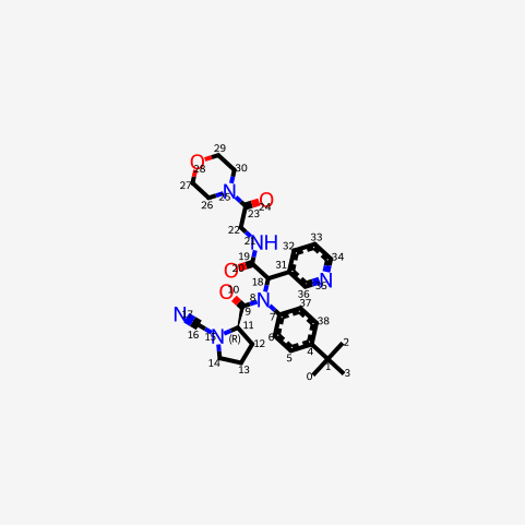 CC(C)(C)c1ccc(N(C(=O)[C@H]2CCCN2C#N)C(C(=O)NCC(=O)N2CCOCC2)c2cccnc2)cc1